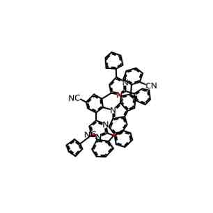 N#Cc1cc(-c2cc(-c3ccccc3)nc(-c3ccccc3)n2)c(-n2c3cc(-c4ccccc4C#N)ccc3c3ccc(-c4ccccc4C#N)cc32)c(-c2cc(-c3ccccc3)nc(-c3ccccc3)n2)c1